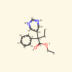 CCOC(=O)C(CC)(c1ccccc1)c1cncnc1